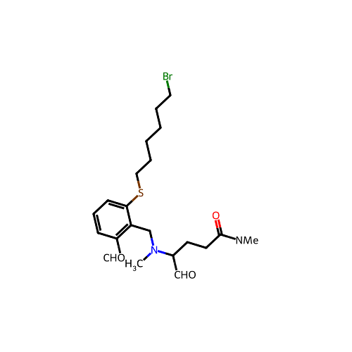 CNC(=O)CCC(C=O)N(C)Cc1c(C=O)cccc1SCCCCCCBr